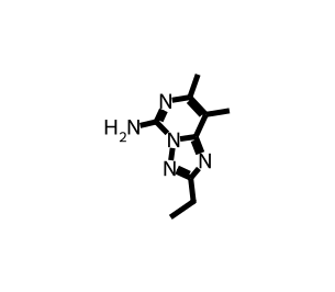 CCc1nc2c(C)c(C)nc(N)n2n1